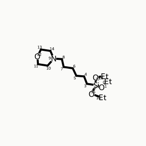 CCO[Si](CCCCCCN1CCOCC1)(OCC)OCC